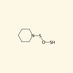 SOSN1CCCCC1